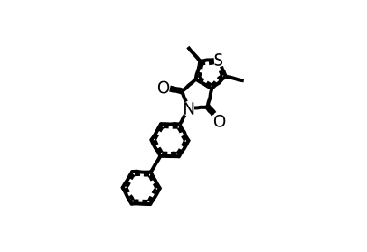 Cc1sc(C)c2c1C(=O)N(c1ccc(-c3ccccc3)cc1)C2=O